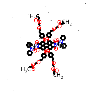 C=CC(=O)OCCOCCc1ccc(Oc2cc3c4c(cc(Oc5ccc(CCOCCOC(=O)C=C)cc5)c5c6c(Oc7ccc(CCOCCOC(=O)C=C)cc7)cc7c8c(cc(Oc9ccc(CCOCCOC(=O)C=C)cc9)c(c2c45)c86)C(=O)N(C(C(=O)N(C2CCCCC2)C2CCCCC2)C(C)CC)C7=O)C(=O)N(C(C(=O)N(C2CCCCC2)C2CCCCC2)C(C)CC)C3=O)cc1